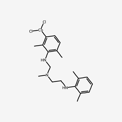 Cc1cccc(C)c1NCCN(C)CNc1c(C)cc[c]([Co]([Cl])[Cl])c1C